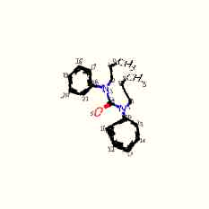 CCCN(C(=O)N(CCC)c1ccccc1)c1ccccc1